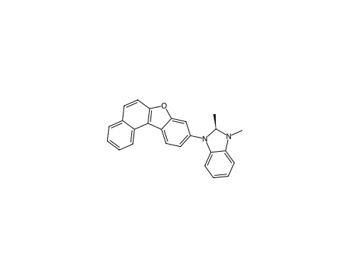 C[C@H]1N(C)c2ccccc2N1c1ccc2c(c1)oc1ccc3ccccc3c12